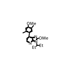 CCC(CC)n1c(OC)nc2c(-c3cc(C)c(OC)cc3C)ccnc21